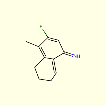 CC1=C2CCCC=C2C(=N)C=C1F